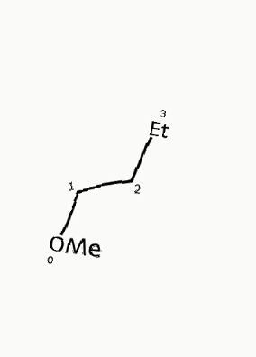 [CH2-][OH+]CCCC